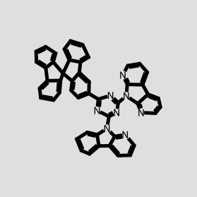 c1ccc2c(c1)-c1ccccc1C21c2ccccc2-c2cc(-c3nc(-n4c5ccccc5c5cccnc54)nc(-n4c5ncccc5c5cccnc54)n3)ccc21